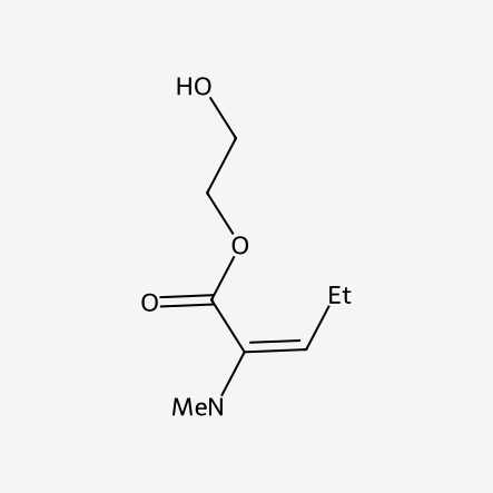 CCC=C(NC)C(=O)OCCO